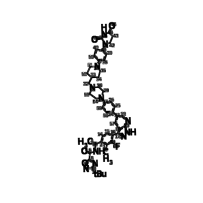 Cc1c([C@@H](C)NC(=O)c2nc(C(C)(C)C)no2)ccc(-c2n[nH]c3ncc(-c4ccc(N5CCN(CC6CCN(c7ccc(N8CCC(=O)NC8=O)cc7)CC6)CC5)cc4)cc23)c1F